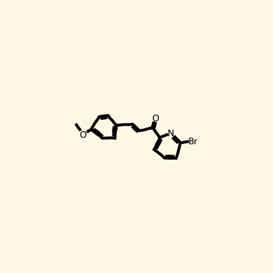 COc1ccc(C=CC(=O)c2cccc(Br)n2)cc1